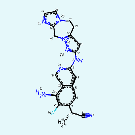 C[C@@H](C#N)c1cc2cc(Nc3cc4n(n3)Cc3nccn3CC4)ncc2c(N)c1F